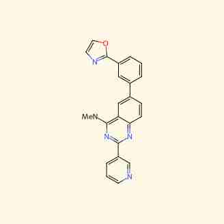 CNc1nc(-c2cccnc2)nc2ccc(-c3cccc(-c4ncco4)c3)cc12